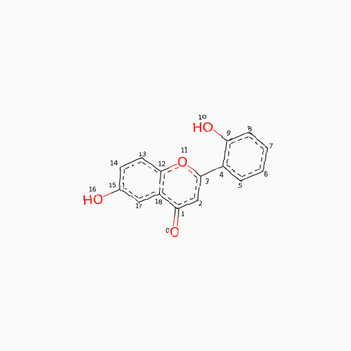 O=c1cc(-c2ccccc2O)oc2ccc(O)cc12